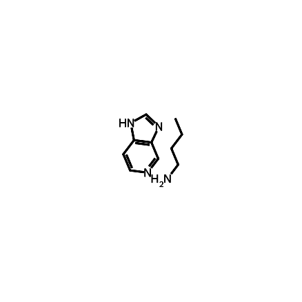 CCCCN.c1cc2[nH]cnc2cn1